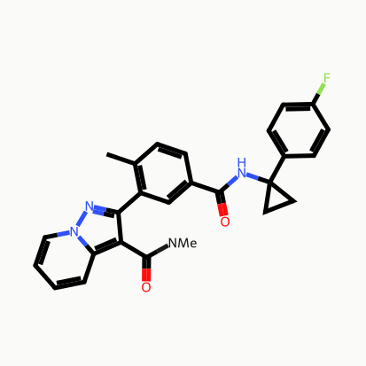 CNC(=O)c1c(-c2cc(C(=O)NC3(c4ccc(F)cc4)CC3)ccc2C)nn2ccccc12